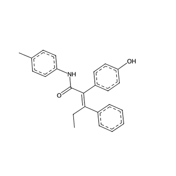 CC/C(=C(\C(=O)Nc1ccc(C)cc1)c1ccc(O)cc1)c1ccccc1